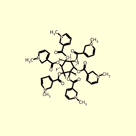 CN1C=CC=C(C(=O)OC2(I)C(I)(OC(=O)C3=CC=CN(C)C3)[C@](I)(OC(=O)C3=CC=CN(C)C3)[C@](I)(OC(=O)C3=CC=CN(C)C3)[C@@](I)(OC(=O)C3=CC=CN(C)C3)[C@]2(I)OC(=O)C2=CC=CN(C)C2)C1